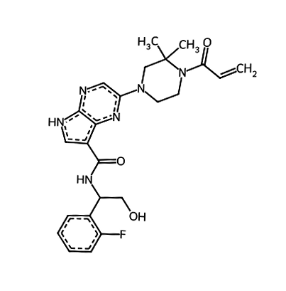 C=CC(=O)N1CCN(c2cnc3[nH]cc(C(=O)NC(CO)c4ccccc4F)c3n2)CC1(C)C